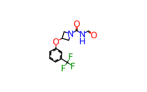 O=CNC(=O)N1CC(Oc2cccc(C(F)(F)F)c2)C1